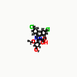 CCOc1cc(OC)ccc1C1=NC(c2ccc(Cl)cc2)C(c2ccc(Cl)cc2)N1C(=O)O